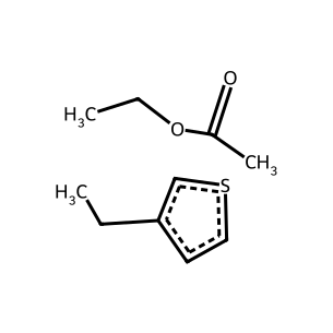 CCOC(C)=O.CCc1ccsc1